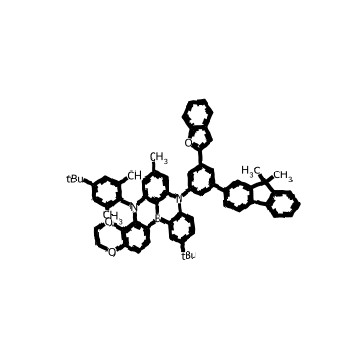 Cc1cc2c3c(c1)N(c1c(C)cc(C(C)(C)C)cc1C)c1c(ccc4c1OCCO4)B3c1cc(C(C)(C)C)ccc1N2c1cc(-c2ccc3c(c2)C(C)(C)c2ccccc2-3)cc(-c2cc3ccccc3o2)c1